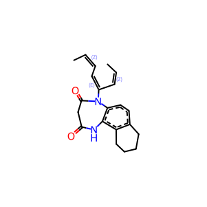 C\C=C/C=C(\C=C/C)N1C(=O)CC(=O)Nc2c1ccc1c2CCCC1